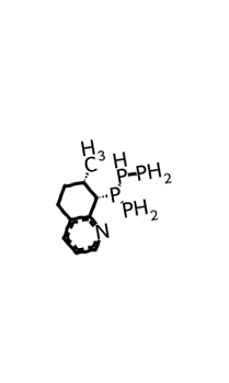 C[C@H]1CCc2cccnc2[C@H]1P(P)PP